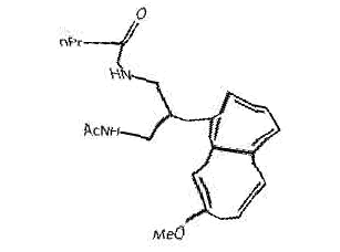 CCCC(=O)NCC(CNC(C)=O)c1cccc2ccc(OC)cc12